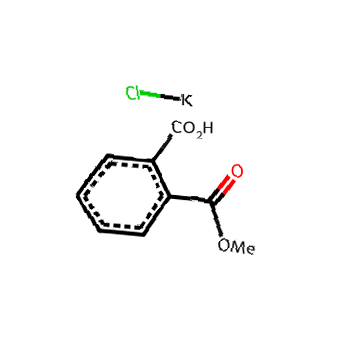 COC(=O)c1ccccc1C(=O)O.[Cl][K]